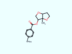 CCCCCCc1ccc(C(=O)OC2COC3CCOC32C)cc1